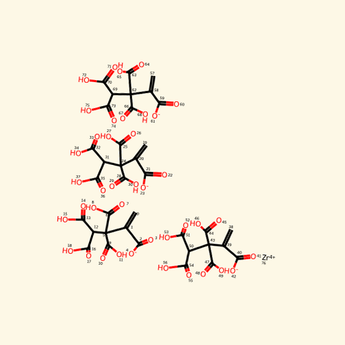 C=C(C(=O)[O-])C(C(=O)O)(C(=O)O)C(C(=O)O)C(=O)O.C=C(C(=O)[O-])C(C(=O)O)(C(=O)O)C(C(=O)O)C(=O)O.C=C(C(=O)[O-])C(C(=O)O)(C(=O)O)C(C(=O)O)C(=O)O.C=C(C(=O)[O-])C(C(=O)O)(C(=O)O)C(C(=O)O)C(=O)O.[Zr+4]